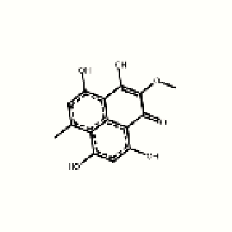 COC1=C(O)c2c(O)cc(C)c3c(O)cc(O)c(c23)C1=O